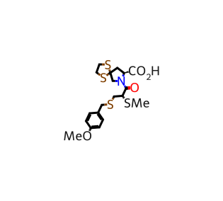 COc1ccc(CSCC(SC)C(=O)N2CC3(C[C@H]2C(=O)O)SCCS3)cc1